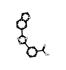 O=C(O)c1cccc(-c2nnc(-c3ccc4ccsc4c3)o2)c1